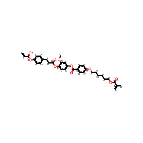 C=CC(=O)Oc1ccc(CCC(=O)Oc2ccc(OC(=O)c3ccc(OCCCCCCOC(=O)C(=C)C)cc3)cc2OC)cc1